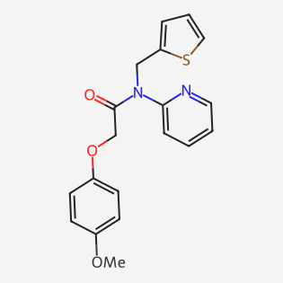 COc1ccc(OCC(=O)N(Cc2cccs2)c2ccccn2)cc1